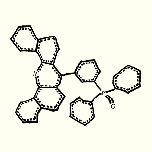 O=P(c1ccccc1)(c1ccccc1)c1cccc(-c2c3ccc4ccccc4c3nc3c2ccc2ccccc23)c1